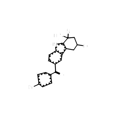 CCC1Cc2c([nH]c3ccc(C(=O)c4ccc(Br)cc4)cc23)C(N)(N)C1